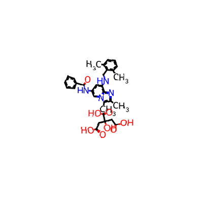 Cc1cccc(C)c1CNc1cc(NC(=O)c2ccccc2)cn2c(C)c(C)nc12.O=C(O)CC(O)(CC(=O)O)C(=O)O